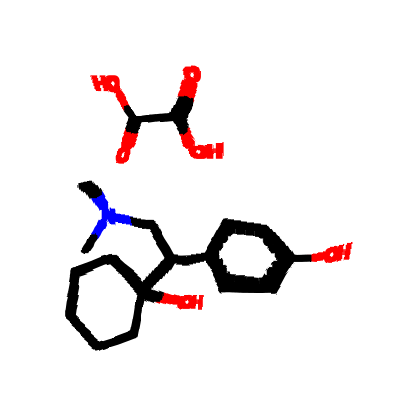 CN(C)CC(c1ccc(O)cc1)C1(O)CCCCC1.O=C(O)C(=O)O